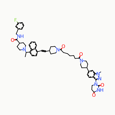 CC(c1ccc(C#CC2CCN(C(=O)CCCCCC(=O)N3CCC(c4ccc5c(N6CCC(=O)NC6=O)nn(C)c5c4)CC3)CC2)c2ccccc12)N1CCC(C(=O)NCc2cccc(F)c2)CC1